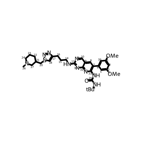 COc1cc(OC)cc(-c2cc3cnc(NCCCc4cn(CC5CCCN(C)C5)nn4)nc3nc2NC(=O)NC(C)(C)C)c1